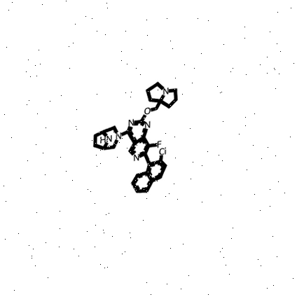 Fc1c(-c2c(Cl)ccc3ccccc23)ncc2c(N3CC4CCC(C3)N4)nc(OCC34CCCN3CCC4)nc12